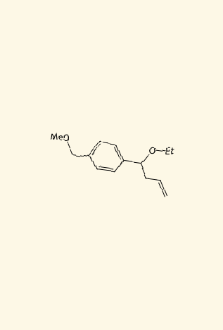 C=CCC(OCC)c1ccc(COC)cc1